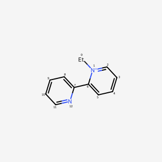 CC[n+]1ccccc1-c1ccccn1